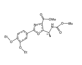 CCOc1ccc(-c2nc(C(=O)OC)c([C@H](C)NC(=O)OC(C)(C)C)o2)cc1OCC